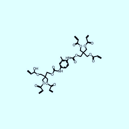 C=CC(=O)OCC(COC(=O)C=C)(COC(=O)C=C)COC(=O)Nc1ccc(NC(=O)OCC(COC(=O)C=C)(COC(=O)C=C)COC(O)C=C)cc1C